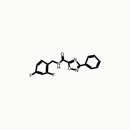 O=C(NCc1ccc(F)cc1F)c1nc(-c2ccccc2)no1